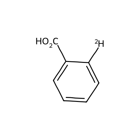 [2H]c1ccccc1C(=O)O